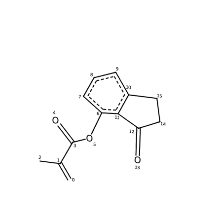 C=C(C)C(=O)Oc1cccc2c1C(=O)CC2